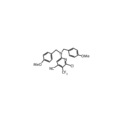 COc1ccc(CN(Cc2ccc(OC)cc2)c2cc(C#N)c(C(F)(F)F)c(Cl)n2)cc1